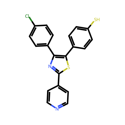 Sc1ccc(-c2sc(-c3ccncc3)nc2-c2ccc(Cl)cc2)cc1